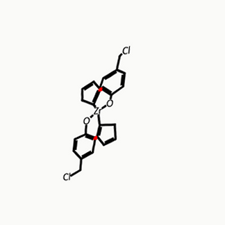 ClCc1ccc([O][Zr]([O]c2ccc(CCl)cc2)([C]2=CC=CC2)[C]2=CC=CC2)cc1